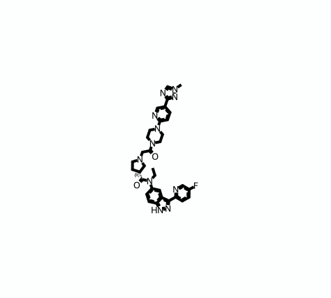 CCN(C(=O)[C@@H]1CCN(CC(=O)N2CCN(c3ccc(-c4ncn(C)n4)cn3)CC2)C1)c1ccc2[nH]nc(-c3ccc(F)cn3)c2c1